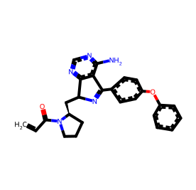 C=CC(=O)N1CCC[C@@H]1CC1N=C(c2ccc(Oc3ccccc3)cc2)c2c(N)ncnc21